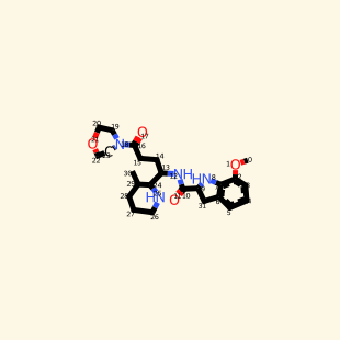 COc1cccc2c1NC(C(=O)NC(CCC(=O)N1CCOCC1)C1NCCCC1C)C2